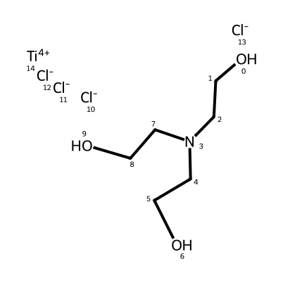 OCCN(CCO)CCO.[Cl-].[Cl-].[Cl-].[Cl-].[Ti+4]